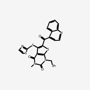 CC(C)Cn1c(=O)n(C)c(=O)c2c(Sc3nccs3)c(C(=O)c3ccnc4ccccc34)sc21